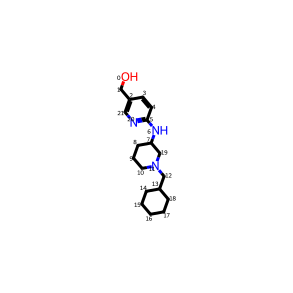 OCc1ccc(NC2CCCN(CC3CCCCC3)C2)nc1